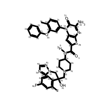 [2H]N(C(=O)c1cc2c(nc(N)c(=O)n2-c2ccc(C)c(Oc3ccccc3)c2)s1)C1CCN(CC(O)(Cn2cncn2)c2ccc(F)cc2F)CC1